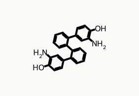 Nc1cc(-c2ccccc2-c2ccccc2-c2ccc(O)c(N)c2)ccc1O